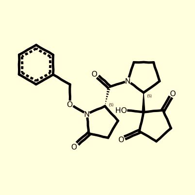 O=C([C@@H]1CCC(=O)N1OCc1ccccc1)N1CCC[C@H]1C1(O)C(=O)CCC1=O